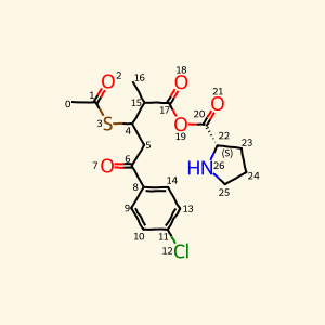 CC(=O)SC(CC(=O)c1ccc(Cl)cc1)C(C)C(=O)OC(=O)[C@@H]1CCCN1